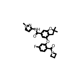 Cn1ccc(NC(=O)c2cc(Oc3cc(F)ccc3C(=O)N3CCC3)c3c(c2)OC(C)(C)C3)n1